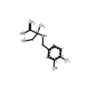 C=C(N=O)[C@@](C)(CN=O)NCc1ccc(C(F)(F)F)c(C#N)c1